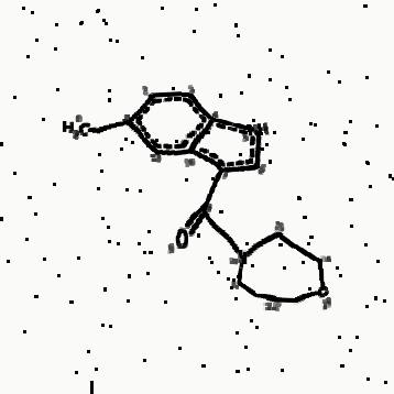 Cc1ccc2[nH]cc(C(=O)N3CCOCC3)c2c1